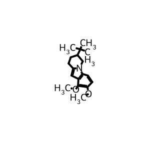 COc1ccc2c(cc3n2CC(C(C)(C)C)CC3)c1OC